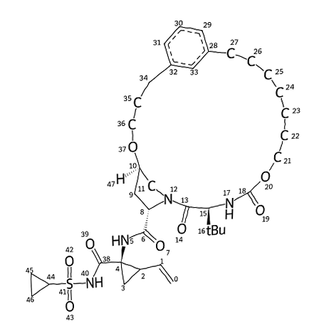 C=CC1C[C@]1(NC(=O)[C@@H]1C[C@@H]2CN1C(=O)[C@H](C(C)(C)C)NC(=O)OCCCCCCCc1cccc(c1)CCCO2)C(=O)NS(=O)(=O)C1CC1